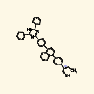 C/C=C(\C=N)c1ccc(-c2ccc(-c3ccc(C4=NC(c5ccccc5)NC(c5ccccc5)=N4)cc3)c3ccccc23)cc1